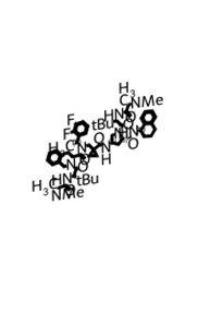 CNC(C)C(=O)NC(C(=O)N1Cc2ccccc2CC1C(=O)N(CC1(C(=O)N[C@H]2C[C@@H](C(=O)N[C@@H]3CCCc4ccccc43)N(C(=O)C(NC(=O)C(C)NC)C(C)(C)C)C2)CC1)[C@H](C)c1cccc(F)c1F)C(C)(C)C